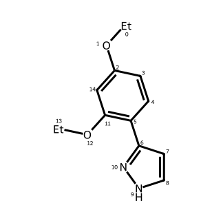 CCOc1ccc(-c2cc[nH]n2)c(OCC)c1